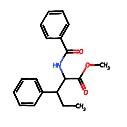 CCC(c1ccccc1)C(NC(=O)c1ccccc1)C(=O)OC